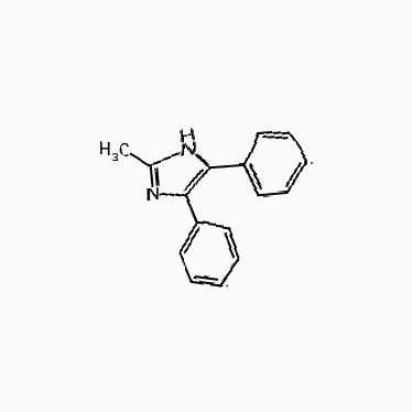 Cc1nc(-c2cc[c]cc2)c(-c2cc[c]cc2)[nH]1